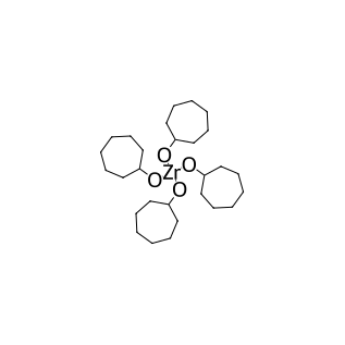 C1CCCC([O][Zr]([O]C2CCCCCC2)([O]C2CCCCCC2)[O]C2CCCCCC2)CC1